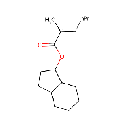 CCCC=C(C)C(=O)OC1CCC2CCCCC21